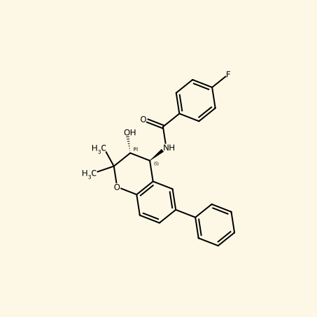 CC1(C)Oc2ccc(-c3ccccc3)cc2[C@H](NC(=O)c2ccc(F)cc2)[C@H]1O